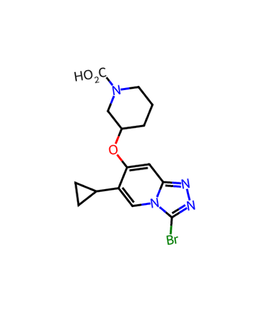 O=C(O)N1CCCC(Oc2cc3nnc(Br)n3cc2C2CC2)C1